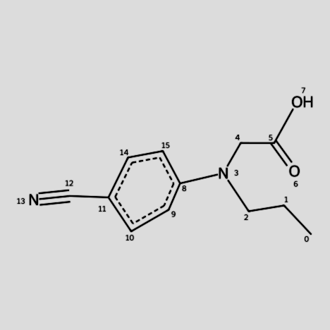 CCCN(CC(=O)O)c1ccc(C#N)cc1